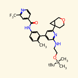 Cc1ccc(NC(=O)c2ccnc(C(F)(F)F)c2)cc1-c1cc(NCCO[Si](C)(C)C(C)(C)C)nc(C23CCOCC2C3)c1